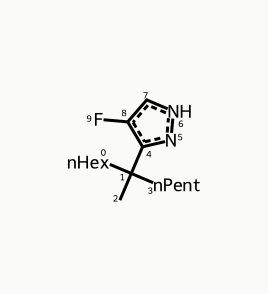 CCCCCCC(C)(CCCCC)c1n[nH]cc1F